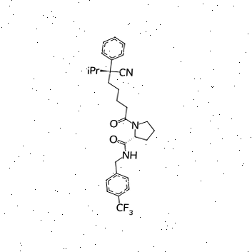 CC(C)[C@@](C#N)(CCCCC(=O)N1CCC[C@@H]1C(=O)NCc1ccc(C(F)(F)F)cc1)c1ccccc1